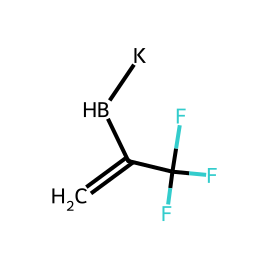 C=C([BH][K])C(F)(F)F